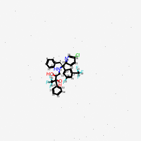 OC(CN[C@@](Cc1ccccc1)(c1cc(F)cc(C(F)(F)F)c1)c1ccc(Cl)cn1)C(O)(c1ccccc1)C(F)(F)F